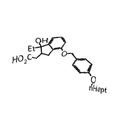 CCCCCCCOc1ccc(COc2cccc3c2CC(CC(=O)O)C3(O)CC)cc1